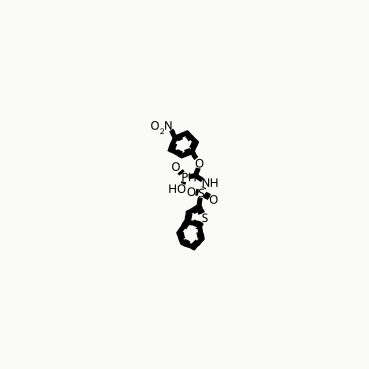 O=[N+]([O-])c1ccc(OC(NS(=O)(=O)c2cc3ccccc3s2)[PH](=O)O)cc1